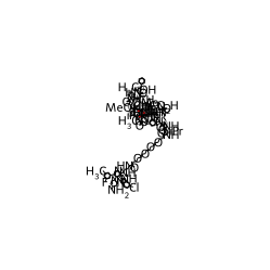 CC[C@H](C)[C@@H]([C@@H](CC(=O)N1CCC[C@H]1[C@H](OC)[C@@H](C)C(=O)N[C@H](C)[C@@H](O)c1ccccc1)OC)N(C)C(=O)[C@@H](NC(=O)[C@H](C(C)C)N(C)C(=O)OCc1ccc(NC(=O)[C@H](CCCNC(N)=O)NC(=O)[C@@H](NC(=O)CCOCCOCCOCCOCCC(=O)NCCNc2ncc(-c3cc(C)cc(F)c3)c(N3CCC(N)CC3)c2-c2nc3ccc(Cl)cc3[nH]2)C(C)C)c(O[C@@H]2O[C@H](C(=O)O)[C@@H](O)[C@H](O)[C@H]2O)c1)C(C)C